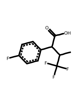 CC(C(C(=O)O)c1ccc(F)cc1)C(F)(F)F